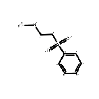 CCC[N]CCS(=O)(=O)c1ccccc1